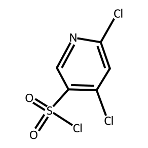 O=S(=O)(Cl)c1cnc(Cl)cc1Cl